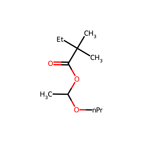 CCCOC(C)OC(=O)C(C)(C)CC